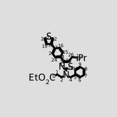 CCOC(=O)CCN(Cc1ccccc1)c1nc(-c2ccc(-c3ccsc3)cc2)c(CC(C)C)s1